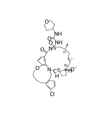 CO[C@H]1/C=C/C[C@H](C)CS(=O)(NC(=O)NC2CCOCC2)=NC(=O)c2ccc3c(c2)N(Cc2ccc(Cl)cc2CCCCO3)C[C@@H]2CC[C@H]21